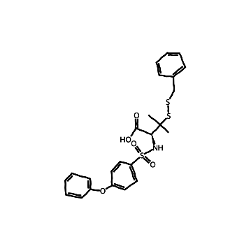 CC(C)(SSCc1ccccc1)[C@@H](NS(=O)(=O)c1ccc(Oc2ccccc2)cc1)C(=O)O